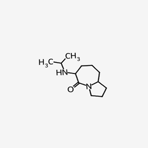 CC(C)NC1CCCC2CCCN2C1=O